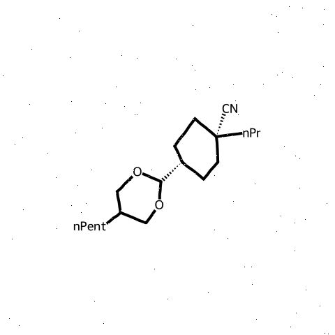 CCCCCC1COC([C@H]2CC[C@](C#N)(CCC)CC2)OC1